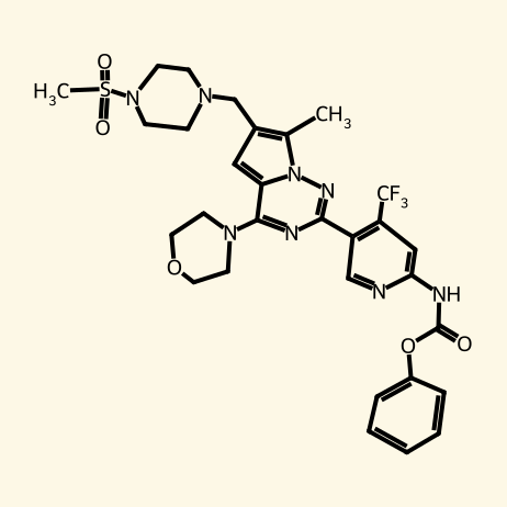 Cc1c(CN2CCN(S(C)(=O)=O)CC2)cc2c(N3CCOCC3)nc(-c3cnc(NC(=O)Oc4ccccc4)cc3C(F)(F)F)nn12